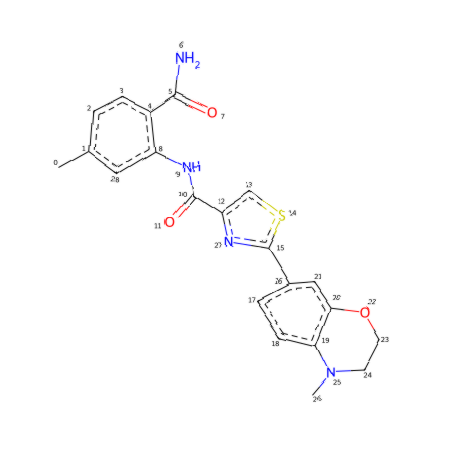 Cc1ccc(C(N)=O)c(NC(=O)c2csc(-c3ccc4c(c3)OCCN4C)n2)c1